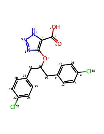 O=C(O)c1[nH]nnc1OC(Cc1ccc(Cl)cc1)Cc1ccc(Cl)cc1